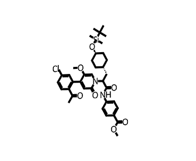 COC(=O)c1ccc(NC(=O)C(C[C@H]2CC[C@H](O[Si](C)(C)C(C)(C)C)CC2)n2cc(OC)c(-c3cc(Cl)ccc3C(C)=O)cc2=O)cc1